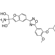 COc1ccc(-c2nc(-c3ccc4oc(C(N)(CO)CO)cc4c3)no2)cc1OCC(C)C